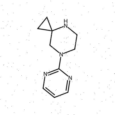 c1cnc(N2CCNC3(CC3)C2)nc1